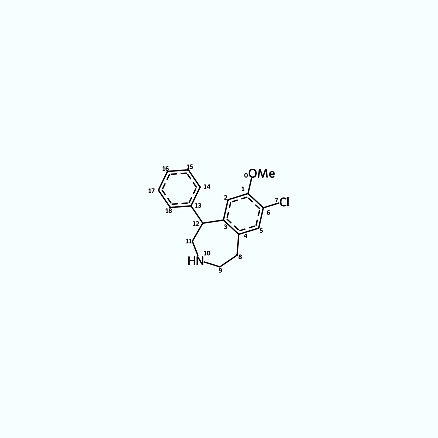 COc1cc2c(cc1Cl)CCNCC2c1ccccc1